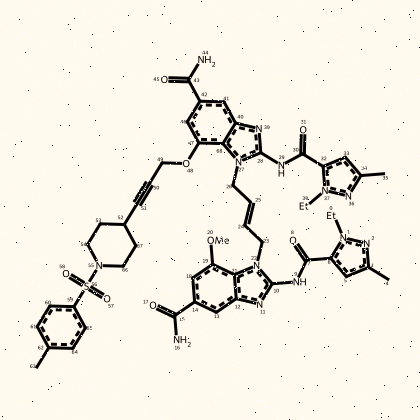 CCn1nc(C)cc1C(=O)Nc1nc2cc(C(N)=O)cc(OC)c2n1C/C=C/Cn1c(NC(=O)c2cc(C)nn2CC)nc2cc(C(N)=O)cc(OCC#CC3CCN(S(=O)(=O)c4ccc(C)cc4)CC3)c21